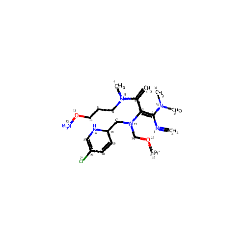 C=N/C(=C(/C(=C)N(C)CCCON)N(COCCC)CC1C=CC(Cl)=CN1)N(C)C=O